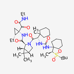 CCNC(=O)C(=O)[C@]1(NC(=O)[C@@H]2[C@@H]3[C@H](CN2C(=O)[C@@H](NC(=O)NC2([C@H](C)S(=O)(=O)C(C)(C)C)CCCCC2)C2(C)CCCCC2)C3(C)C)C[C@H]1CC